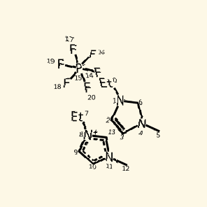 CCN1C=CN(C)C1.CC[n+]1ccn(C)c1.F[P-](F)(F)(F)(F)F